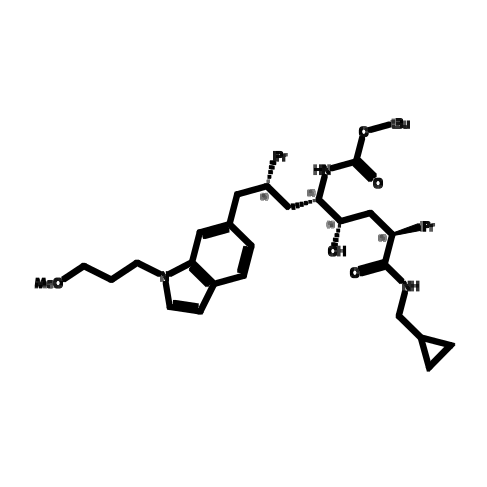 COCCCn1ccc2ccc(C[C@@H](C[C@H](NC(=O)OC(C)(C)C)[C@@H](O)C[C@H](C(=O)NCC3CC3)C(C)C)C(C)C)cc21